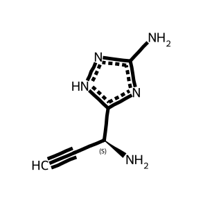 C#C[C@H](N)c1nc(N)n[nH]1